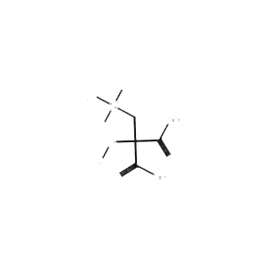 CCCCC(=O)C(C[N+](C)(C)C)(O[PH-])C(=O)CCCC